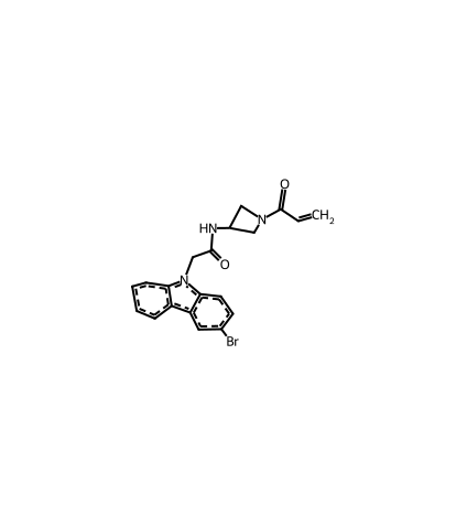 C=CC(=O)N1CC(NC(=O)Cn2c3ccccc3c3cc(Br)ccc32)C1